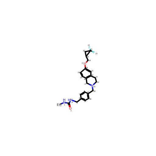 CCNC(=O)NCc1ccc(CN2CCc3cc(OCC4CC4(F)F)ccc3C2)cc1